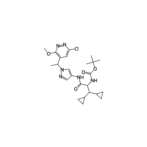 COc1nnc(Cl)cc1C(C)n1cc(NC(=O)C(NC(=O)OC(C)(C)C)C(C2CC2)C2CC2)cn1